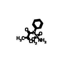 C=C(C)C(=O)N(c1ccccc1)S(N)(=O)=O